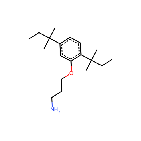 CCC(C)(C)c1ccc(C(C)(C)CC)c(OCCCN)c1